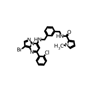 Cn1cccc1C(=O)NCc1cccc(CNc2cc(-c3ccccc3Cl)nc3c(Br)cnn23)c1